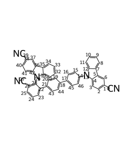 N#Cc1ccc2c(c1)c1ccccc1n2-c1ccc(-c2ccc(-c3cccc(C#N)c3-n3c4ccccc4c4cc(C#N)ccc43)cc2)cc1